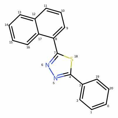 c1ccc(-c2nnc(-c3cccc4ccccc34)s2)cc1